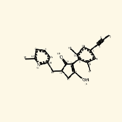 CC#Cc1cc(C)c(C2=C(O)CC(Cc3cccc(C)n3)C2=O)c(C)c1